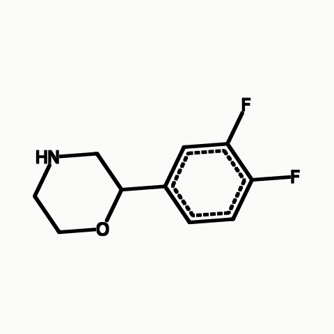 Fc1ccc(C2CNCCO2)cc1F